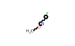 CCCCCOc1ccc(CCc2ccc(F)cc2)nc1